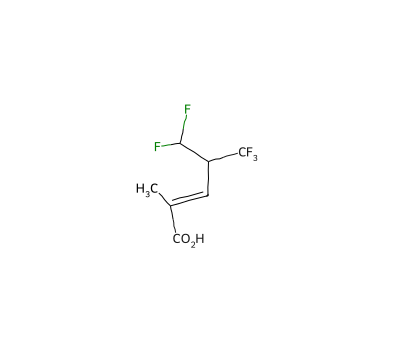 C/C(=C\C(C(F)F)C(F)(F)F)C(=O)O